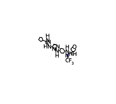 FC(F)(F)C/N=C(\NC1CCOCC1)N[C@H]1CC[C@H](Nc2nccc(Nc3cc(C4CCCC4)[nH]n3)n2)CC1